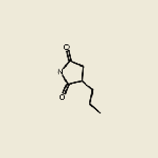 CCCC1CC(=O)[N]C1=O